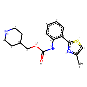 CCCc1csc(-c2ccccc2NC(=O)OCC2CCNCC2)n1